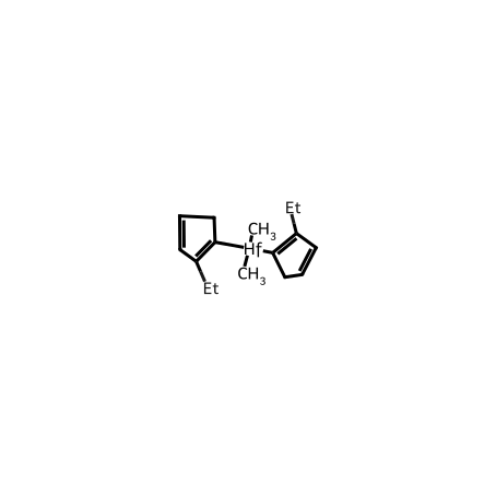 CCC1=[C]([Hf]([CH3])([CH3])[C]2=C(CC)C=CC2)CC=C1